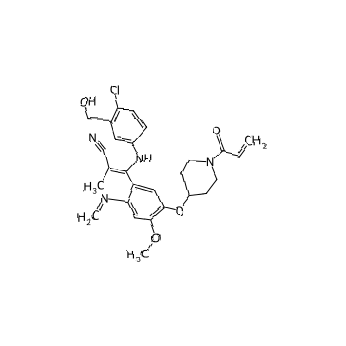 C=CC(=O)N1CCC(Oc2cc(/C(Nc3ccc(Cl)c(CO)c3)=C(\C)C#N)c(N=C)cc2OC)CC1